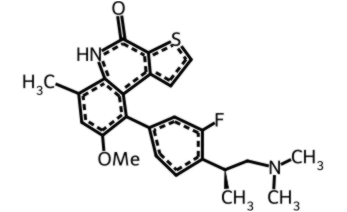 COc1cc(C)c2[nH]c(=O)c3sccc3c2c1-c1ccc([C@H](C)CN(C)C)c(F)c1